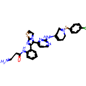 NCCC(=O)Nc1ccccc1-c1nc2sccn2c1-c1ccnc(N[C@@H]2CCCN(Sc3ccc(Cl)cc3)C2)n1